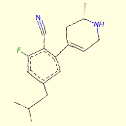 CC(C)Cc1cc(F)c(C#N)c(C2=CCN[C@@H](C)C2)c1